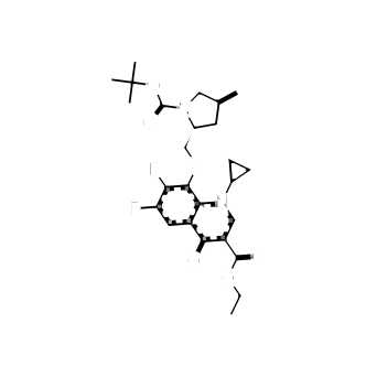 C=C1C[C@@H](COc2c(F)c(F)cc3c(=O)c(C(=O)OCC)cn(C4CC4)c23)N(C(=O)OC(C)(C)C)C1